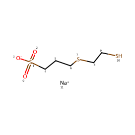 O=S(=O)([O-])CCCSCCS.[Na+]